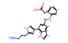 NCCCc1cc(-c2cc(COc3ccccc3CC(=O)O)cc3ccoc23)cs1